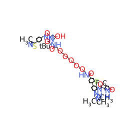 Cc1ncsc1-c1ccc(CNC(=O)[C@@H]2C[C@@H](O)CN2C(=O)C(NC(=O)CCOCCOCCOCCOCCOCCNC(=O)c2ccc(-c3ccc(N4C[C@@H](C)N(C)[C@@H](C)C4)c(NC(=O)c4c[nH]c(=O)cc4C(F)(F)F)c3)c(F)c2)C(C)(C)C)cc1